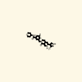 Cc1n[nH]cc1-c1cc2ccn(Cc3cc(F)cc(C(=O)NC4CCOCC4)c3)c(=O)c2cn1